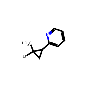 CCC1(C(=O)O)CC1c1ccccn1